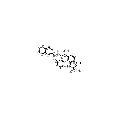 CS(=O)(=O)Nc1cc([C@@H](O)CN[C@H](Cc2ccccc2)c2ccc3ccccc3c2)ccc1O